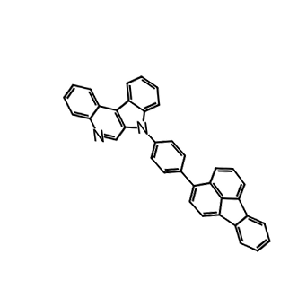 c1ccc2c(c1)-c1cccc3c(-c4ccc(-n5c6ccccc6c6c7ccccc7ncc65)cc4)ccc-2c13